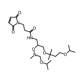 CC(C)OCCC(C)(C)OCC(CNC(=O)CCN1C(=O)C=CC1=O)ON(C)COC(C)C